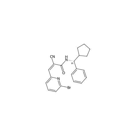 N#CC(=Cc1cccc(Br)n1)C(=O)N[C@@H](c1ccccc1)C1CCCC1